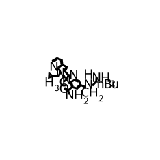 C=C(NC[C@H](N)CCCC)c1cc(C(N)=O)c2c(c1)nc(-c1cc3cccnc3n1CC1CC1)n2C